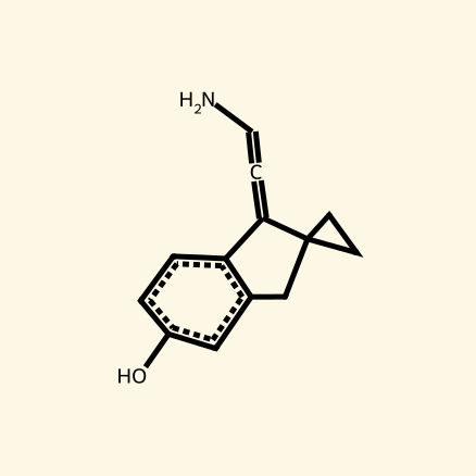 NC=C=C1c2ccc(O)cc2CC12CC2